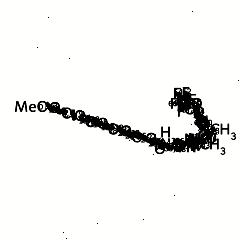 COCCOCCOCCOCCOCCOCCOCCOCCOCCOCCC(=O)NCc1ccc(-c2nnc(C(C)OC(=O)N(C)c3ccc(COC(=O)Oc4c(F)c(F)c(F)c(F)c4F)cc3)nn2)cc1